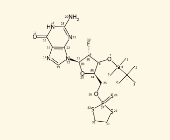 CC(C)(C)[Si](C)(C)OC1[C@@H](F)[C@H](n2cnc3c(=O)[nH]c(N)nc32)O[C@@H]1COP1(=S)SCCS1